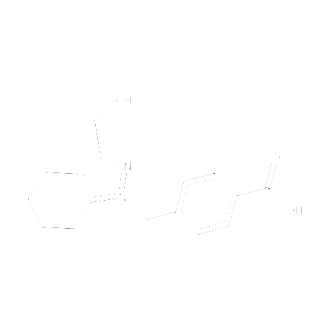 CCc1nn(Cc2ccc(C(=O)O)cc2)c2c1CCCC2